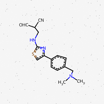 CN(C)Cc1ccc(-c2csc(NCC(C#N)C=O)n2)cc1